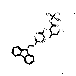 CCN(CC(=O)OC(C)(C)C)C[C@H](NC(=O)OCC1c2ccccc2-c2ccccc21)C(=O)O